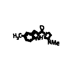 CN[C@@H]1CCN(C(=O)c2cc3cc(C)ccc3[nH]2)C1